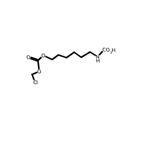 O=C(O)NCCCCCCOC(=O)OCCl